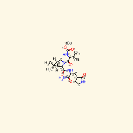 CCC(C(NC(=O)OC(C)(C)C)C(=O)N1C[C@H]2[C@@H](C1C(=O)N[C@@H](C[C@@H]1CCNC1=O)C(N)=O)C2(C)C)C(F)(F)F